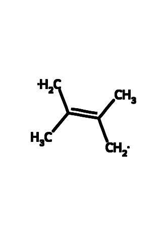 [CH2]/C(C)=C(/[CH2])C